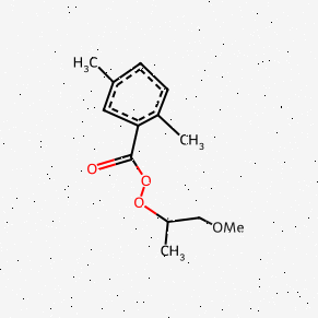 COC[C](C)OOC(=O)c1cc(C)ccc1C